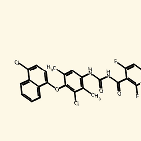 Cc1cc(NC(=O)NC(=O)c2c(F)cccc2F)c(C)c(Cl)c1Oc1ccc(Cl)c2ccccc12